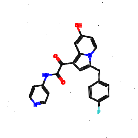 O=C(Nc1ccncc1)C(=O)c1cc(Cc2ccc(F)cc2)n2ccc(O)cc12